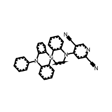 N#Cc1cc(N2c3ccccc3[Si]3(c4ccccc4N(c4ccccc4)c4ccccc43)c3ccccc32)c(C#N)cn1